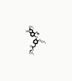 CCOC(=O)Cc1ccc(Oc2ccc3[nH]c(C)cc3c2N=O)c(OC)c1